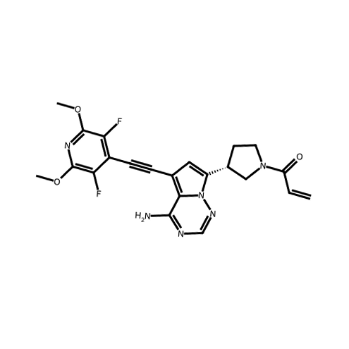 C=CC(=O)N1CC[C@@H](c2cc(C#Cc3c(F)c(OC)nc(OC)c3F)c3c(N)ncnn23)C1